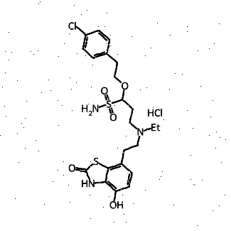 CCN(CCc1ccc(O)c2[nH]c(=O)sc12)CCC(OCCc1ccc(Cl)cc1)S(N)(=O)=O.Cl